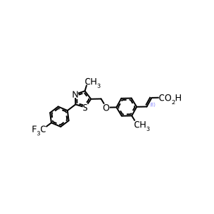 Cc1cc(OCc2sc(-c3ccc(C(F)(F)F)cc3)nc2C)ccc1/C=C/C(=O)O